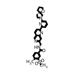 Cc1ccc(C(=O)NCc2cc3nc(-c4cccc(N5CC[C@@]6(CCCO6)C5)n4)ccc3cn2)cc1S(C)(=O)=O